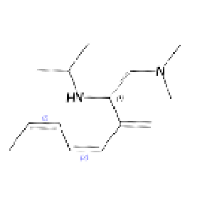 C=C(/C=C\C=C/C)[C@@H](CN(C)C)NC(C)C